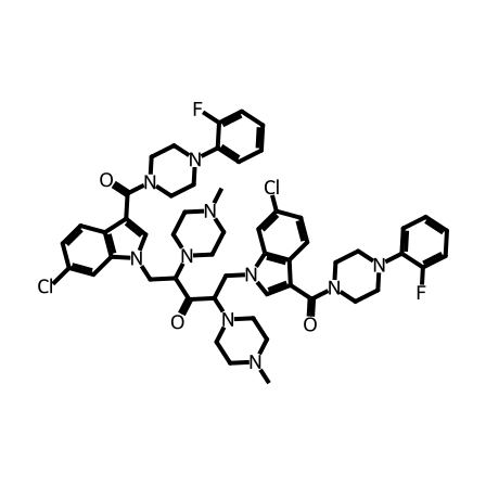 CN1CCN(C(Cn2cc(C(=O)N3CCN(c4ccccc4F)CC3)c3ccc(Cl)cc32)C(=O)C(Cn2cc(C(=O)N3CCN(c4ccccc4F)CC3)c3ccc(Cl)cc32)N2CCN(C)CC2)CC1